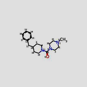 CN1CCN(C(=O)N2CCC(Cc3ccccc3)CC2)CC1